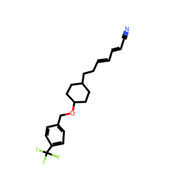 N#CC=CC=CCCC1CCC(OCc2ccc(C(F)(F)F)cc2)CC1